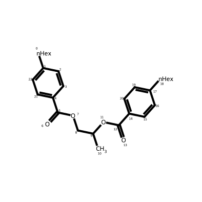 CCCCCCc1ccc(C(=O)OCC(C)OC(=O)c2ccc(CCCCCC)cc2)cc1